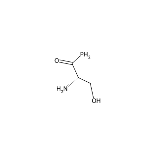 N[C@@H](CO)C(=O)P